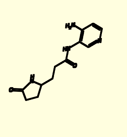 Nc1ccncc1NC(=O)CCC1CCC(=O)N1